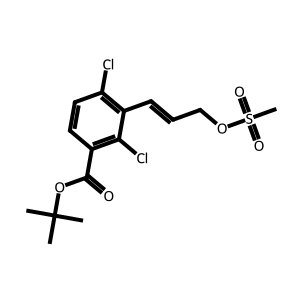 CC(C)(C)OC(=O)c1ccc(Cl)c(C=CCOS(C)(=O)=O)c1Cl